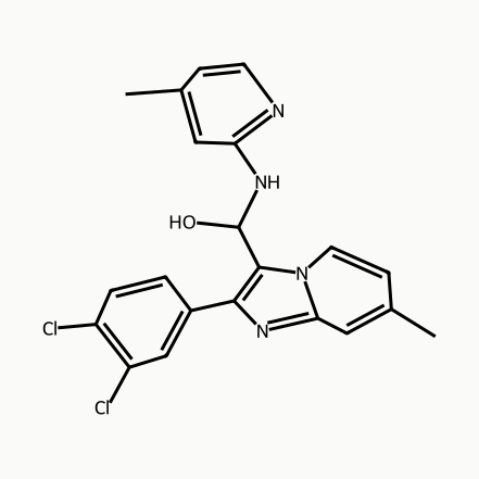 Cc1ccnc(NC(O)c2c(-c3ccc(Cl)c(Cl)c3)nc3cc(C)ccn23)c1